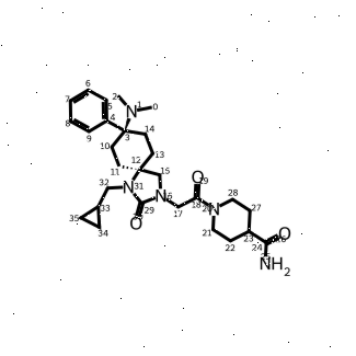 CN(C)[C@]1(c2ccccc2)CC[C@]2(CC1)CN(CC(=O)N1CCC(C(N)=O)CC1)C(=O)N2CC1CC1